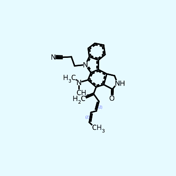 C=C(/C=C\C=C/C)c1c2c(c3c4ccccc4n(CCC#N)c3c1N(C)C)CNC2=O